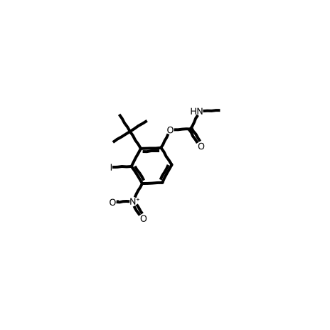 CNC(=O)Oc1ccc([N+](=O)[O-])c(I)c1C(C)(C)C